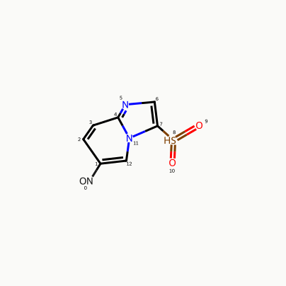 O=Nc1ccc2ncc([SH](=O)=O)n2c1